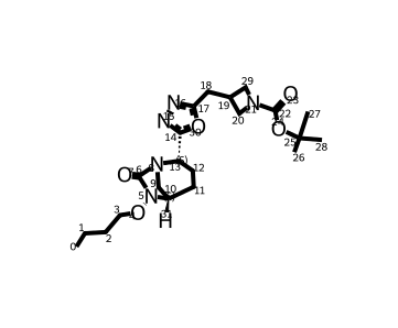 CCCCON1C(=O)N2C[C@@H]1CC[C@H]2c1nnc(CC2CN(C(=O)OC(C)(C)C)C2)o1